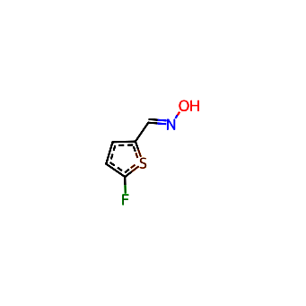 ON=Cc1ccc(F)s1